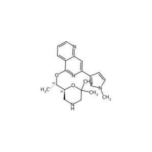 C[C@H](Oc1nc(-c2ccn(C)c2)cc2ncccc12)[C@@H]1CNCC(C)(C)O1